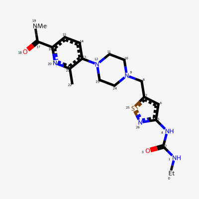 CCNC(=O)Nc1cc(CN2CCN(c3ccc(C(=O)NC)nc3C)CC2)sn1